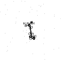 CC(C)(C)NCc1cc(C(=O)OCCCCOC(=O)Cc2ccccc2Nc2c(Cl)cccc2Cl)cc(Br)c1N